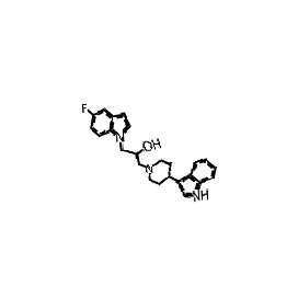 OC(CN1CCC(c2c[nH]c3ccccc23)CC1)Cn1ccc2cc(F)ccc21